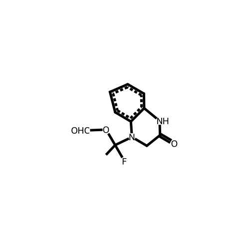 CC(F)(OC=O)N1CC(=O)Nc2ccccc21